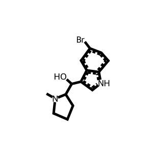 CN1CCCC1C(O)c1c[nH]c2ccc(Br)cc12